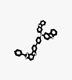 c1ccc(-c2nc3c(ccc4oc5cc(-c6ccc(N(c7ccc8sc9ccccc9c8c7)c7ccc8sc9ccccc9c8c7)cc6)ccc5c43)s2)cc1